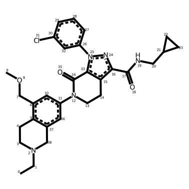 CCN1CCc2c(COC)cc(N3CCc4c(C(=O)NCC5CC5)nn(-c5cccc(Cl)c5)c4C3=O)cc2C1